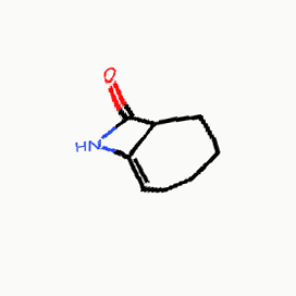 O=C1NC2=CCCCC12